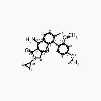 COc1ccc(-c2c(F)ccc3c(N)c4c(nc23)CN(C2CC2)C4=O)c(OC)c1